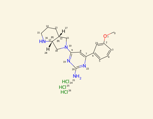 COc1cccc(-c2cc(N3C[C@H]4CCCN[C@H]4C3)nc(N)n2)c1.Cl.Cl.Cl